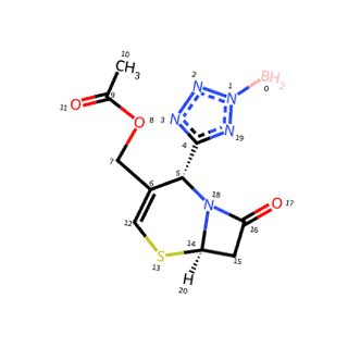 Bn1nnc([C@H]2C(COC(C)=O)=CS[C@@H]3CC(=O)N23)n1